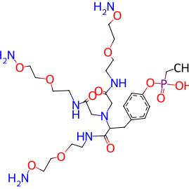 CCP(=O)(O)Oc1ccc(CC(C(=O)NCCOCCON)N(CC(=O)NCCOCCON)CC(=O)NCCOCCON)cc1